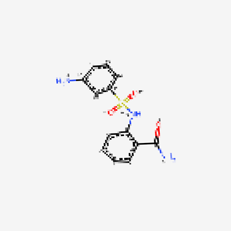 NC(=O)c1ccccc1NS(=O)(=O)c1cccc(N)c1